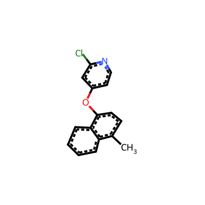 Cc1ccc(Oc2ccnc(Cl)c2)c2ccccc12